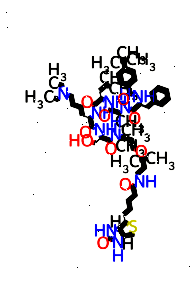 CCN(CC)CCCC[C@H](NC(=O)[C@H](CC(C)C)NC(=O)[C@H](C)NC(=O)[C@H](Cc1ccccc1)NC(=O)c1ccc(C(C)(C)C)cc1)C(=O)N[C@@H](CO)C(=O)NC(C)(C)CCOC(C)(C)CCNC(=O)CCCC[C@@H]1SC[C@@H]2NC(=O)N[C@@H]21